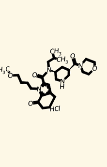 COCCCCn1c(C(=O)N(CC(C)C)[C@@H]2CNC[C@H](C(=O)N3CCOCC3)C2)cc2c1C(=O)CCC2.Cl